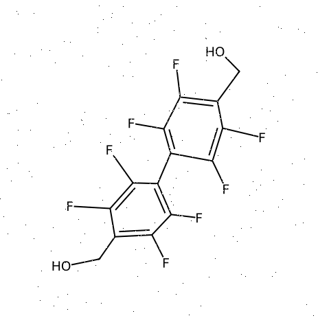 OCc1c(F)c(F)c(-c2c(F)c(F)c(CO)c(F)c2F)c(F)c1F